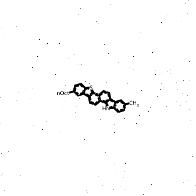 CCCCCCCCc1ccc2sc3c(ccc4c3ccc3c5cc(C)ccc5[nH]c34)c2c1